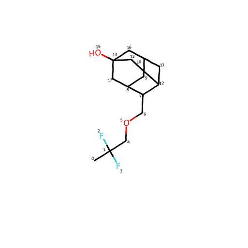 CC(F)(F)COCC1C2CC3CC1CC(O)(C3)C2